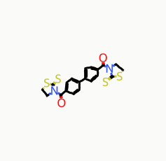 O=C(c1ccc(-c2ccc(C(=O)N3CCSC3=S)cc2)cc1)N1CCSC1=S